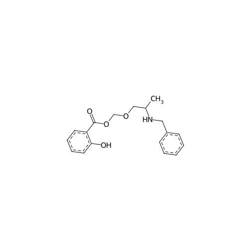 CC(COCOC(=O)c1ccccc1O)NCc1ccccc1